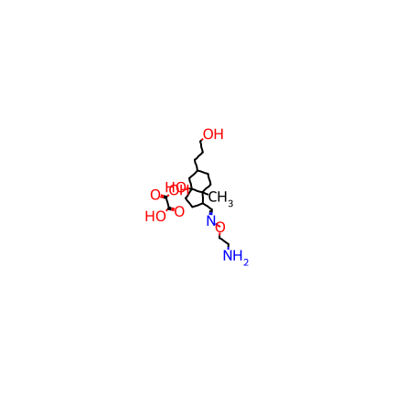 CC12CCC(CCCO)CC1(O)CCC2/C=N/OCCN.O=C(O)C(=O)O